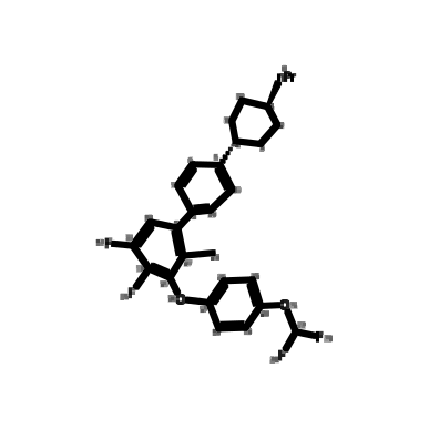 CCC[C@H]1CC[C@H](c2ccc(-c3cc(F)c(F)c(Oc4ccc(OC(F)F)cc4)c3C)cc2)CC1